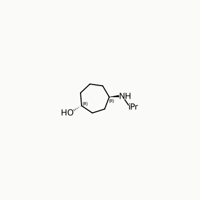 CC(C)N[C@@H]1CCC[C@@H](O)CC1